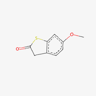 COc1ccc2c(c1)SC(=O)C2